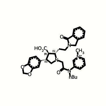 CCCCN(C(=O)CN1C[C@H](c2ccc3c(c2)OCO3)[C@@H](C(=O)O)[C@@H]1CCN1Cc2ccccc2C1=O)c1ccc[n+](C)c1